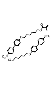 C=C(C)C(=O)OCCCCCCOc1ccc(-c2ccc([N+](=O)[O-])cc2)cc1.O=[N+]([O-])c1ccc(-c2ccc(OCCCCCCO)cc2)cc1